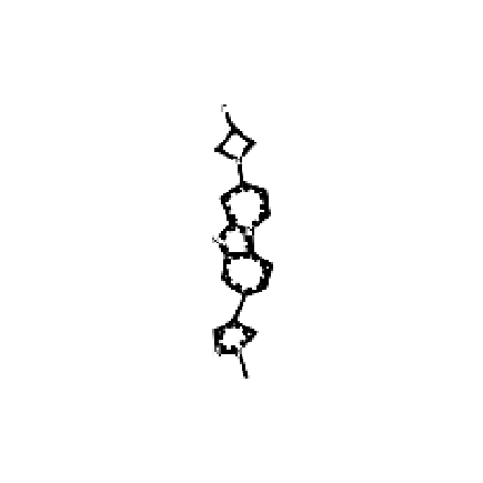 Cn1cc(-c2ccc3c(c2)nc2cc(N4CC(F)C4)ccn23)cn1